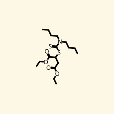 CCCCN(CCCC)C(=S)SC(CC(=O)OCC)C(=O)OCC